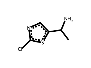 CC(N)c1cnc(Cl)s1